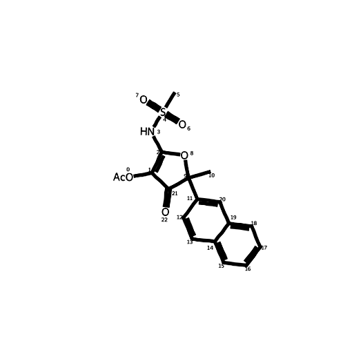 CC(=O)OC1=C(NS(C)(=O)=O)OC(C)(c2ccc3ccccc3c2)C1=O